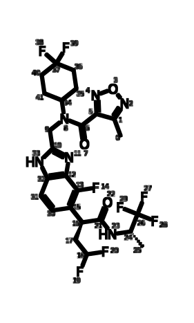 Cc1nonc1C(=O)N(Cc1nc2c(F)c([C@H](CC(F)F)C(=O)N[C@@H](C)C(F)(F)F)ccc2[nH]1)C1CCC(F)(F)CC1